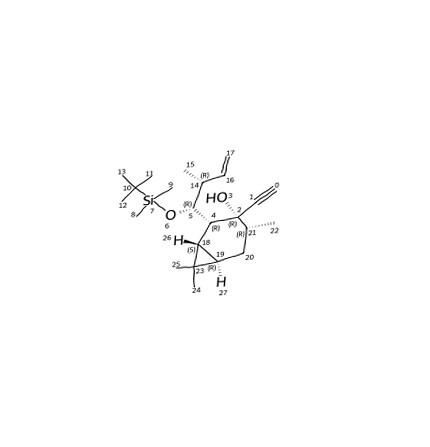 C#C[C@]1(O)[C@@H]([C@H](O[Si](C)(C)C(C)(C)C)[C@H](C)C=C)[C@@H]2[C@@H](C[C@H]1C)C2(C)C